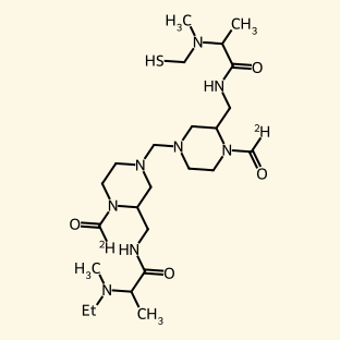 [2H]C(=O)N1CCN(CN2CCN(C([2H])=O)C(CNC(=O)C(C)N(C)CS)C2)CC1CNC(=O)C(C)N(C)CC